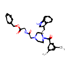 O=C(CN1CCN(C(=O)c2cc(C(F)(F)F)cc(C(F)(F)F)c2)[C@H](Cc2c[nH]c3ccccc23)C1)NCC(=O)OCc1ccccc1